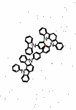 c1ccc(-n2c3ccccc3c3ccc4c(c5ccccc5n4-c4ccc(-c5ccc(-n6c7c(c8ccccc86)CCc6c-7n(-c7cccc(-n8c9ccccc9c9ccccc98)c7)c7ccccc67)cc5)cc4)c32)cc1